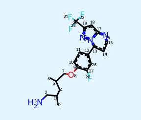 CC(CN)CC(C)COc1ccc(-c2ccnc3cc(C(F)(F)F)nn23)cc1F